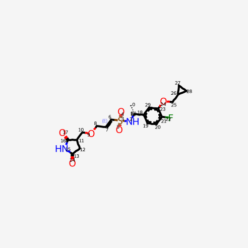 C[C@@H](NS(=O)(=O)/C=C/COCC1CC(=O)NC1=O)c1ccc(F)c(OCC2CC2)c1